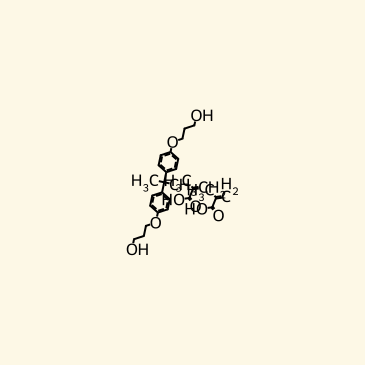 C=C(C)C(=O)O.C=C(C)C(=O)O.CC(C)(c1ccc(OCCCO)cc1)c1ccc(OCCCO)cc1